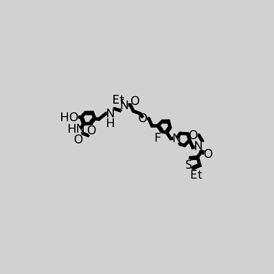 CCc1cc(C(=O)N2CCOC3(CCN(Cc4cccc(CCOCCC(=O)N(CC)CCNCCc5ccc(O)c6c5OCC(=O)N6)c4F)CC3)C2)cs1